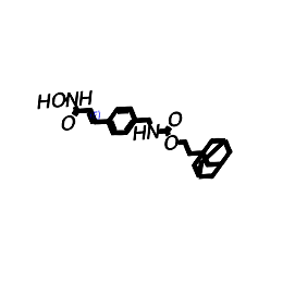 O=C(/C=C/c1ccc(CNC(=O)OCCC23CC4CC(CC(C4)C2)C3)cc1)NO